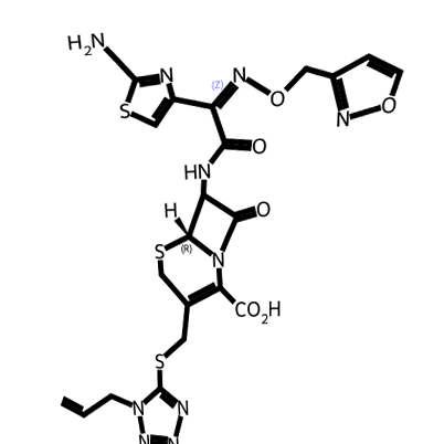 C=CCn1nnnc1SCC1=C(C(=O)O)N2C(=O)C(NC(=O)/C(=N\OCc3ccon3)c3csc(N)n3)[C@H]2SC1